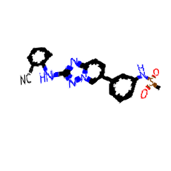 CS(=O)(=O)Nc1cccc(-c2ccc3nc(Nc4ccccc4C#N)nn3c2)c1